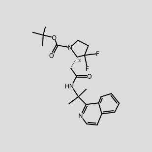 CC(C)(C)OC(=O)N1CCC(F)(F)[C@@H]1CC(=O)NC(C)(C)c1nccc2ccccc12